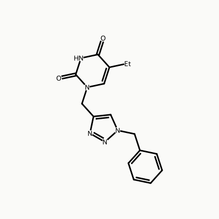 CCc1cn(Cc2cn(Cc3ccccc3)nn2)c(=O)[nH]c1=O